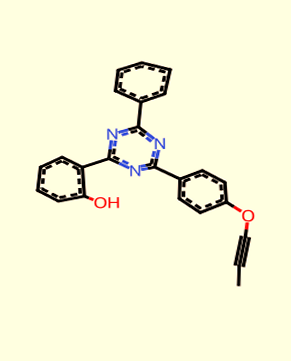 CC#COc1ccc(-c2nc(-c3ccccc3)nc(-c3ccccc3O)n2)cc1